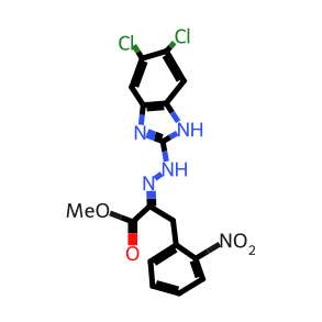 COC(=O)/C(Cc1ccccc1[N+](=O)[O-])=N/Nc1nc2cc(Cl)c(Cl)cc2[nH]1